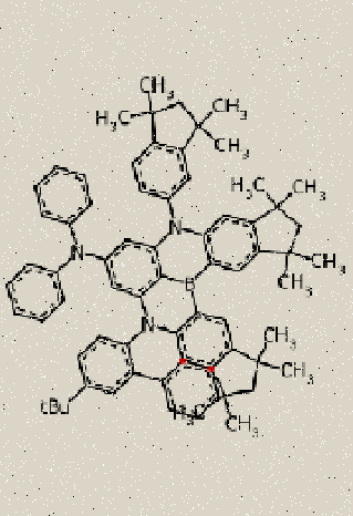 CC(C)(C)c1ccc(N2c3cc4c(cc3B3c5cc6c(cc5N(c5ccc7c(c5)C(C)(C)CC7(C)C)c5cc(N(c7ccccc7)c7ccccc7)cc2c53)C(C)(C)CC6(C)C)C(C)(C)CC4(C)C)c(-c2ccccc2)c1